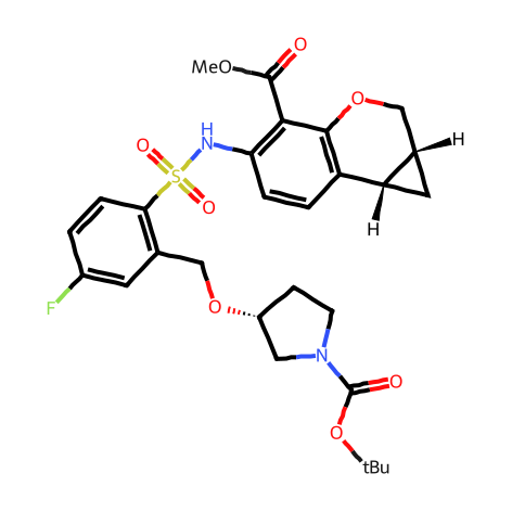 COC(=O)c1c(NS(=O)(=O)c2ccc(F)cc2CO[C@@H]2CCN(C(=O)OC(C)(C)C)C2)ccc2c1OC[C@@H]1C[C@H]21